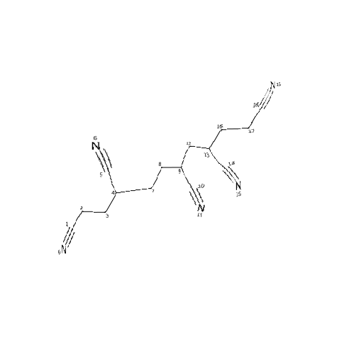 N#CCCC(C#N)CCC(C#N)CC(C#N)CCC#N